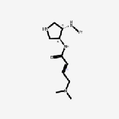 CC(C)N[C@H]1CNC[C@@H]1NC(=O)/C=C/CN(C)C